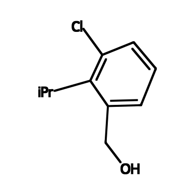 CC(C)c1c(Cl)cccc1CO